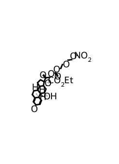 CCOC(=O)O[C@]1(C(=O)COC(=O)OCCOCCO[N+](=O)[O-])CC[C@H]2[C@@H]3CCC4=CC(=O)C=C[C@]4(C)[C@H]3[C@@H](O)C[C@@]21C